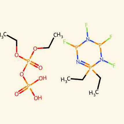 CCOP(=O)(OCC)OP(=O)(O)O.CCP1(CC)=NP(F)N(F)P(F)N1F